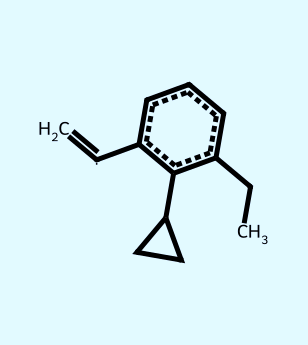 C=[C]c1cccc(CC)c1C1CC1